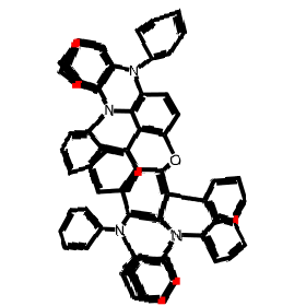 c1ccc(-c2c(Oc3ccc(N(c4ccccc4)c4ccccc4)c(N(c4ccccc4)c4ccccc4)c3-c3ccccc3)ccc(N(c3ccccc3)c3ccccc3)c2N(c2ccccc2)c2ccccc2)cc1